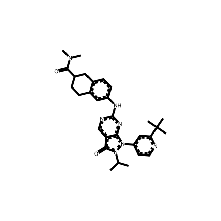 CC(C)n1c(=O)c2cnc(Nc3ccc4c(c3)CCC(C(=O)N(C)C)C4)nc2n1-c1ccnc(C(C)(C)C)c1